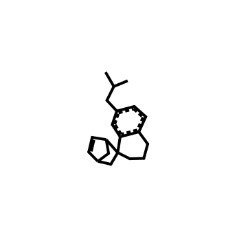 CC(C)Cc1ccc2c(c1)C1(CCC2)CC2C=CC1C2